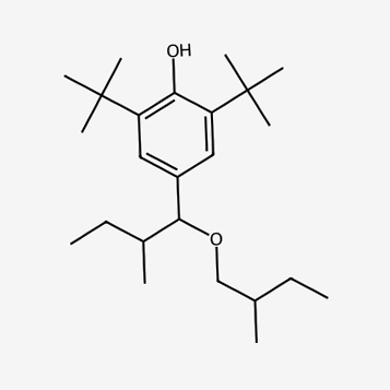 CCC(C)COC(c1cc(C(C)(C)C)c(O)c(C(C)(C)C)c1)C(C)CC